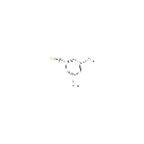 Cc1cc(C)cc(C)c1.S